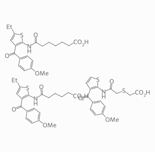 CCc1cc(C(=O)c2ccc(OC)cc2)c(NC(=O)CCCCC(=O)O)s1.CCc1cc(C(=O)c2ccc(OC)cc2)c(NC(=O)CCCCCC(=O)O)s1.COc1ccc(C(=O)c2ccsc2NC(=O)CSCC(=O)O)cc1